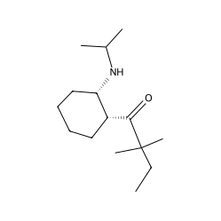 CCC(C)(C)C(=O)[C@@H]1CCCC[C@@H]1NC(C)C